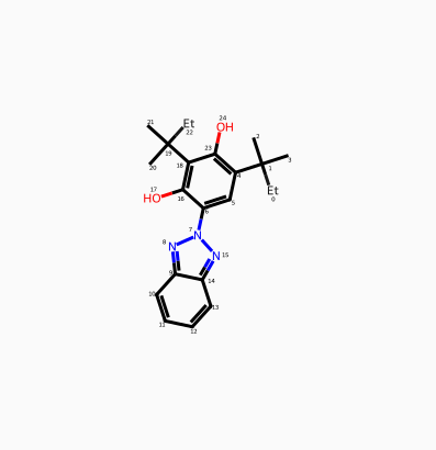 CCC(C)(C)c1cc(-n2nc3ccccc3n2)c(O)c(C(C)(C)CC)c1O